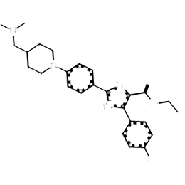 CCOC(=O)c1nc(-c2ccc(N3CCC(CN(C)C)CC3)cc2)[nH]c1-c1ccc(Cl)cc1